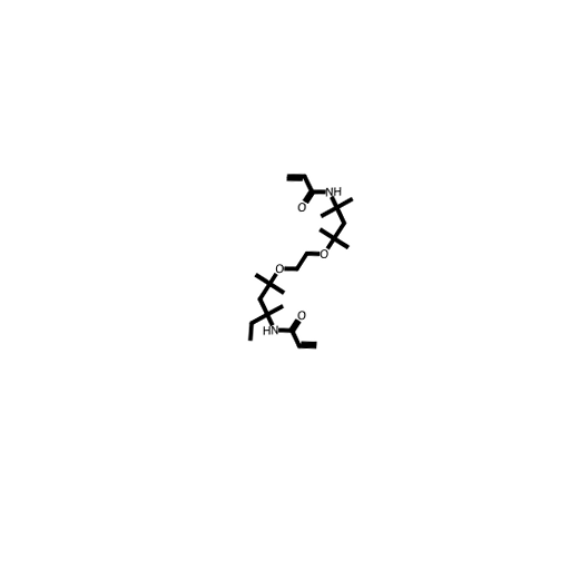 C=CC(=O)NC(C)(C)CC(C)(C)OCCOC(C)(C)CC(C)(CC)NC(=O)C=C